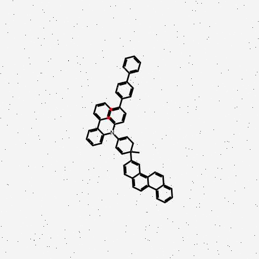 CC1(c2ccc3ccc4c5ccccc5ccc4c3c2)C=CC(N(c2ccc(-c3ccc(-c4ccccc4)cc3)cc2)c2ccccc2-c2ccccc2)=CC1